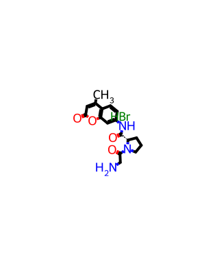 Br.Cc1cc(=O)oc2cc(NC(=O)[C@@H]3CCCN3C(=O)CN)ccc12